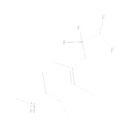 CNc1ccc(SC(F)(F)C(F)F)c(C)c1C